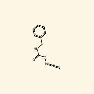 [N-]=[N+]=NOC(=O)NCc1ccccc1